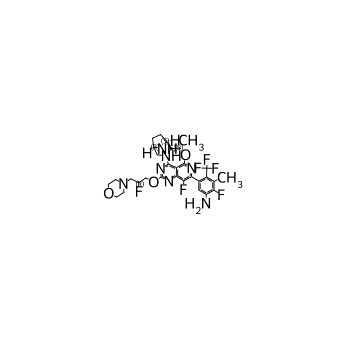 Cc1c(F)c(N)cc(-c2nc3c4c(nc(OC[C@H](F)CN5CCOCC5)nc4c2F)N2C[C@H]4CC[C@H](N4)[C@H]2[C@H](C)O3)c1C(F)(F)F